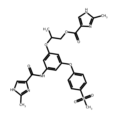 Cc1nc(C(=O)Nc2cc(Oc3ccc(S(C)(=O)=O)cc3)cc(OC(C)COC(=O)c3c[nH]c(C)n3)c2)c[nH]1